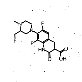 CN1CCN(c2c(F)cc3c(c2F)NC(=O)C(C(=O)O)C3)CC1CF